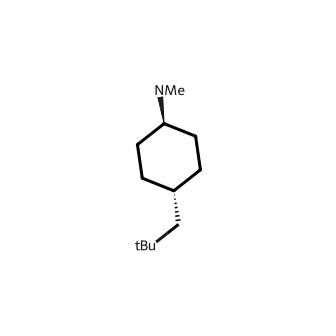 CN[C@H]1CC[C@H](CC(C)(C)C)CC1